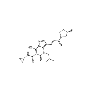 CC(C)Cn1c(=O)c(C(=O)NC2CC2)c(O)n2ncc(/C=C/C(=O)N3CC[C@@H](F)C3)c12